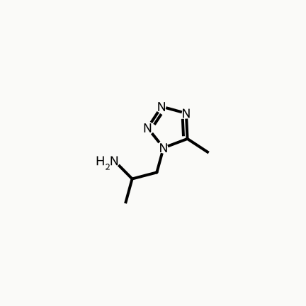 Cc1nnnn1CC(C)N